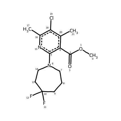 COC(=O)c1c(N2CCCC(F)(F)CC2)nc(C)c(Cl)c1C